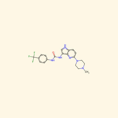 CN1CCN(c2ccc3[nH]cc(NC(=O)Nc4ccc(C(F)(F)F)cc4)c3n2)CC1